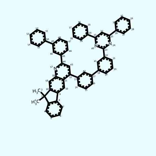 CC1(C)c2ccccc2-c2cc3c(-c4cccc(-c5cccc(-c6nc(-c7ccccc7)cc(-c7ccccc7)n6)c5)c4)cc(-c4cccc(-c5ccccc5)c4)nc3cc21